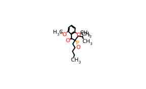 CCCCCC(CC(C)C)(P=O)C(=O)c1c(OC)cccc1OC